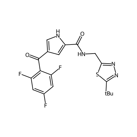 CC(C)(C)c1nnc(CNC(=O)c2cc(C(=O)c3c(F)cc(F)cc3F)c[nH]2)s1